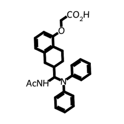 CC(=O)NC(C1CCc2c(cccc2OCC(=O)O)C1)N(c1ccccc1)c1ccccc1